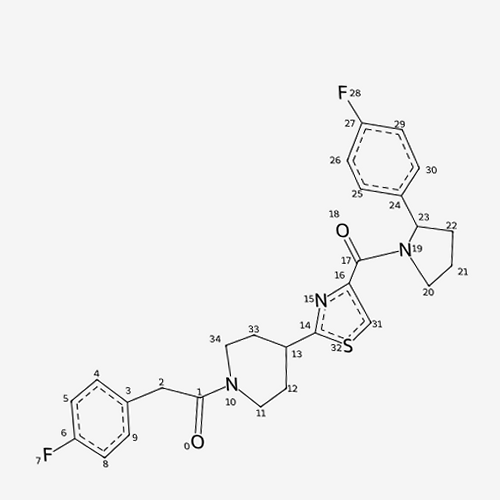 O=C(Cc1ccc(F)cc1)N1CCC(c2nc(C(=O)N3CCCC3c3ccc(F)cc3)cs2)CC1